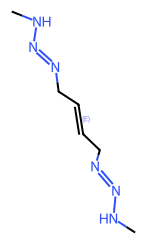 CNN=NC/C=C/CN=NNC